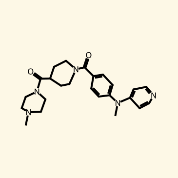 CN1CCN(C(=O)C2CCN(C(=O)c3ccc(N(C)c4ccncc4)cc3)CC2)CC1